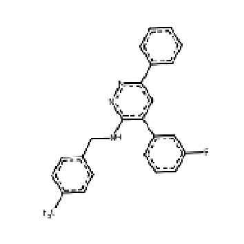 Fc1cccc(-c2cc(-c3ccccc3)nnc2NCc2ccc(C(F)(F)F)cc2)c1